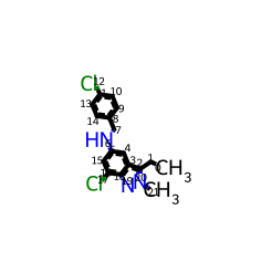 CCc1c2cc(NCc3ccc(Cl)cc3)cc(Cl)c2nn1C